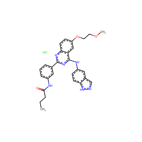 CCCC(=O)Nc1cccc(-c2nc(Nc3ccc4[nH]ncc4c3)c3cc(OCCOC)ccc3n2)c1.Cl